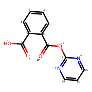 O=C(O)c1ccccc1C(=O)Oc1ncccn1